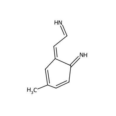 CC1=C/C(=C/C=N)C(=N)C=C1